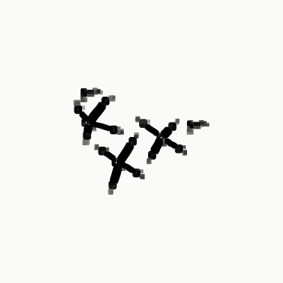 [O]=[Cr](=[O])([O-])[O-].[O]=[Cr](=[O])([O-])[O-].[O]=[Cr](=[O])([O-])[O-].[Sm+3].[Sm+3]